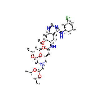 CCOC(CN(CC=CC(=O)Nc1cc2c(Nc3cccc(Br)c3)ncnc2cc1OC)CC(OCC)OCC)OCC